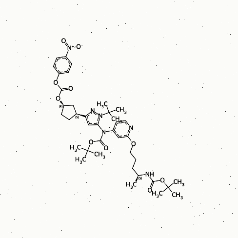 C[C@@H](CCCOc1cc(N(C(=O)OC(C)(C)C)c2cc([C@H]3CC[C@@H](OC(=O)Oc4ccc([N+](=O)[O-])cc4)C3)nn2C(C)(C)C)ccn1)NC(=O)OC(C)(C)C